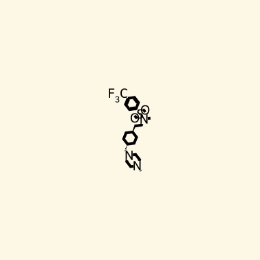 CN1CCN(C[C@H]2CC[C@H](CCN(C)S(=O)(=O)c3ccc(C(F)(F)F)cc3)CC2)CC1